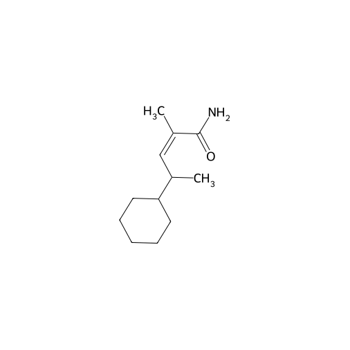 CC(=CC(C)C1CCCCC1)C(N)=O